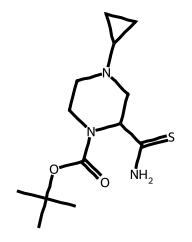 CC(C)(C)OC(=O)N1CCN(C2CC2)CC1C(N)=S